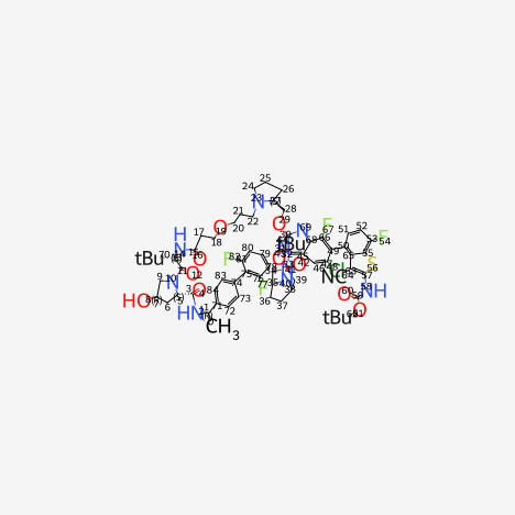 C[C@@H](NC(=O)[C@@H]1C[C@@H](O)CN1C(=O)[C@@H](NC(=O)CCOCCCN1CCC[C@H]1COc1nc(N2CC3CCC(C2)N3C(=O)OC(C)(C)C)c2cc(Cl)c(-c3ccc(F)c4sc(NC(=O)OC(C)(C)C)c(C#N)c34)c(F)c2n1)C(C)(C)C)c1ccc(-c2c(F)cccc2F)cc1